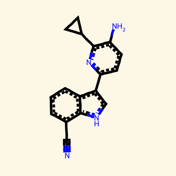 N#Cc1cccc2c(-c3ccc(N)c(C4CC4)n3)c[nH]c12